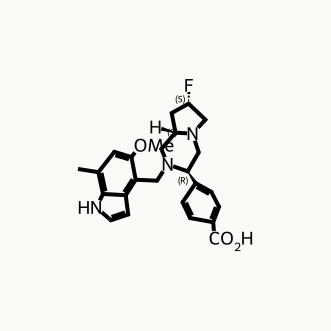 COc1cc(C)c2[nH]ccc2c1CN1C[C@@H]2C[C@H](F)CN2C[C@H]1c1ccc(C(=O)O)cc1